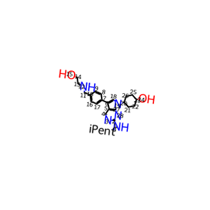 CCCC(C)Nc1ncc2c(-c3ccc(CNCCO)cc3)cn([C@H]3CC[C@H](O)CC3)c2n1